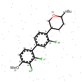 CCCCC1CCC(c2ccc(-c3ccc(OC)c(F)c3F)cc2F)CO1